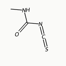 CNC(=O)N=C=S